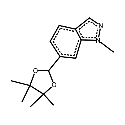 Cn1ncc2ccc(C3OC(C)(C)C(C)(C)O3)cc21